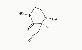 C=CC[C@@]1(C)C(=O)N(O)CCN1O